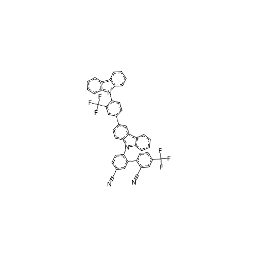 N#Cc1ccc(-n2c3ccccc3c3cc(-c4ccc(-n5c6ccccc6c6ccccc65)c(C(F)(F)F)c4)ccc32)c(-c2ccc(C(F)(F)F)cc2C#N)c1